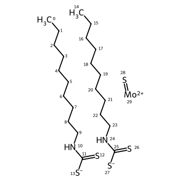 CCCCCCCCCCNC(=S)[S-].CCCCCCCCCCNC(=S)[S-].[S]=[Mo+2]